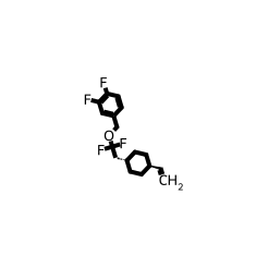 C=C[C@H]1CC[C@H](CC(F)(F)OCc2ccc(F)c(F)c2)CC1